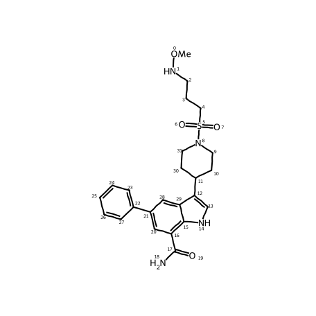 CONCCCS(=O)(=O)N1CCC(c2c[nH]c3c(C(N)=O)cc(-c4ccccc4)cc23)CC1